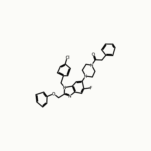 O=C(Cc1ccccc1)N1CCN(c2cc3c(cc2F)nc(COc2ccccc2)n3Cc2ccc(Cl)cc2)CC1